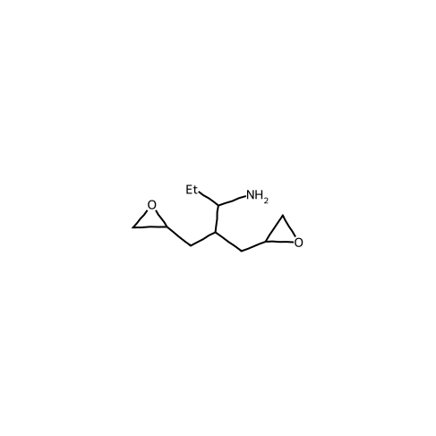 CCC(N)C(CC1CO1)CC1CO1